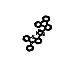 c1ccc(N2c3ccccc3Sc3c(-c4nsc(-c5cccc6c7ccccc7c7ccccc7c56)n4)cccc32)cc1